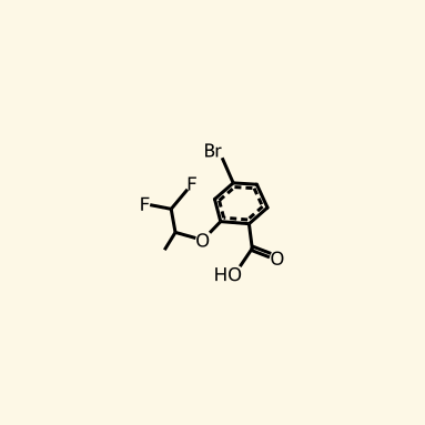 CC(Oc1cc(Br)ccc1C(=O)O)C(F)F